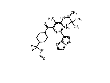 Cc1c(N[C@@H](C)C(C)(C)C)nc(-c2cnn3ccsc23)nc1C(=O)N1CCC(C2(NC=O)CC2)CC1